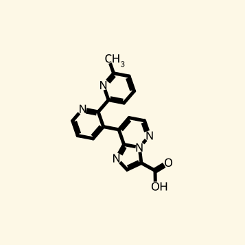 Cc1cccc(-c2ncccc2-c2ccnn3c(C(=O)O)cnc23)n1